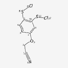 N#CCOc1ccc(SCl)c(SCl)c1